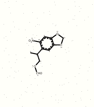 CC(COC=O)c1cc2c(cc1[N+](=O)[O-])OCO2